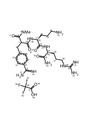 CNC(=O)C(Cc1ccc(C(=N)N)cc1)C(=O)N[C@@H](CCCN)C(=O)N[C@@H](CCCNC(=N)N)C(N)=O.O=C(O)C(F)(F)F